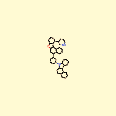 C1=CNCC(c2cccc3oc4cc(-c5cccc(-n6c7ccccc7c7c8ccccc8ccc76)c5)c5ccccc5c4c23)=C1